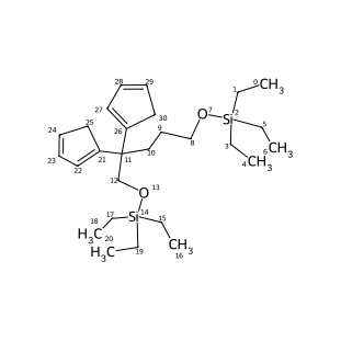 CC[Si](CC)(CC)OCCCC(CO[Si](CC)(CC)CC)(C1=CC=CC1)C1=CC=CC1